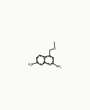 Bc1ccc2c(COC)cc(N)nc2c1